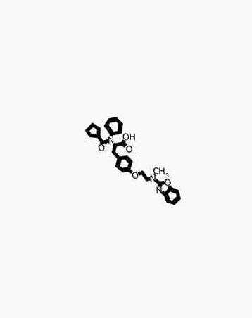 CN(CCOc1ccc(CC(C(=O)O)N(C(=O)C2CCCC2)c2ccccc2)cc1)c1nc2ccccc2o1